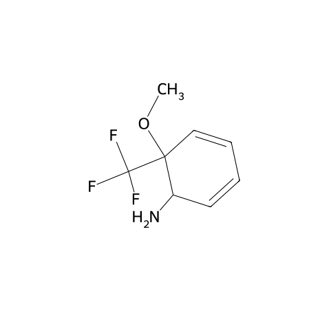 COC1(C(F)(F)F)C=CC=CC1N